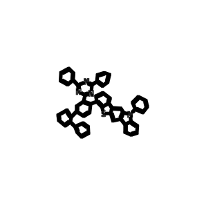 c1ccc(-c2nc(-c3ccccc3)nc(-c3cc(-c4ccccc4-c4ccccc4)ccc3-c3cccc4c3sc3cc5c6ccccc6n(-c6ccccc6)c5cc34)n2)cc1